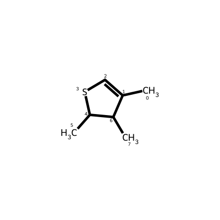 CC1=CSC(C)C1C